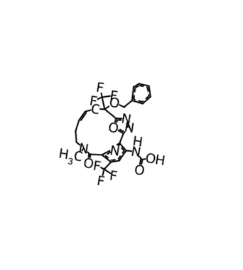 CN1CCC=CCC(OCc2ccccc2)(C(F)(F)F)c2nnc(o2)-c2nc(c(C(F)(F)F)cc2NC(=O)O)C1=O